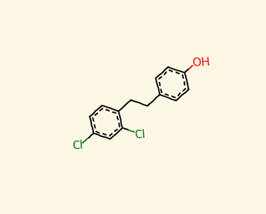 Oc1ccc(CCc2ccc(Cl)cc2Cl)cc1